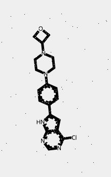 Clc1ncnc2[nH]c(-c3ccc(N4CCN(C5COC5)CC4)cc3)cc12